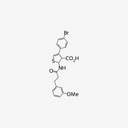 COc1cccc(CCC(=O)NC2SC=C(c3ccc(Br)cc3)C2C(=O)O)c1